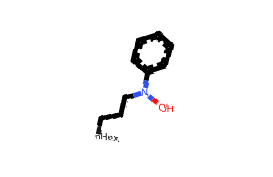 CCCCCCCCCN(O)c1ccccc1